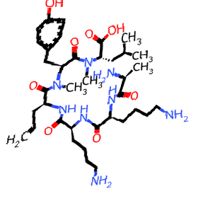 C=CC[C@H](NC(=O)[C@H](CCCCN)NC(=O)[C@H](CCCCN)NC(=O)[C@H](C)N)C(=O)N(C)[C@@H](Cc1ccc(O)cc1)C(=O)N(C)[C@@H](CC(C)C)C(=O)O